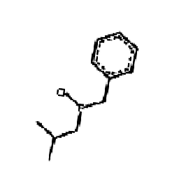 CC(C)CP(Cl)Cc1ccccc1